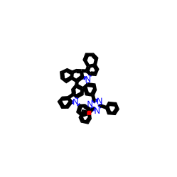 c1ccc(-c2nc(-c3ccccc3)nc(-c3ccc(-n4c5ccc6ccccc6c5c5cc6ccccc6c(-c6ccc7c(c6)c6ccccc6n7-c6ccccc6)c54)cc3)n2)cc1